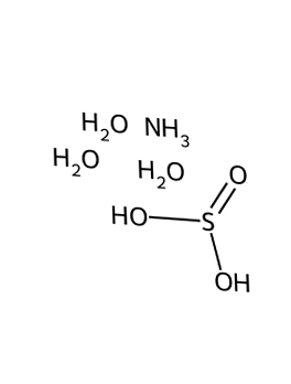 N.O.O.O.O=S(O)O